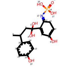 CC(CC(O)(O)C1=CC(O)=CCC1=NP(=O)(O)O)c1ccc(O)cc1